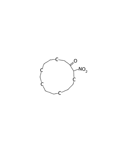 O=C1CCCCCCCCCCCCCC1[N+](=O)[O-]